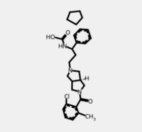 C1CCCC1.Cc1cccc(Cl)c1C(=O)N1CC2CN(CCC(NC(=O)O)c3ccccc3)C[C@H]2C1